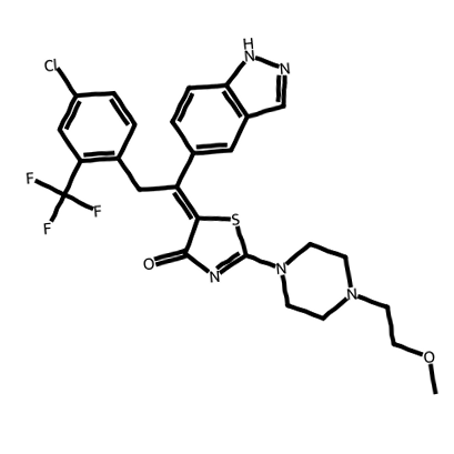 COCCN1CCN(C2=NC(=O)C(=C(Cc3ccc(Cl)cc3C(F)(F)F)c3ccc4[nH]ncc4c3)S2)CC1